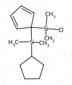 C[Si](C)(Cl)C1([Si](C)(C)C2CCCC2)C=CC=C1